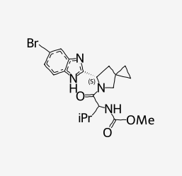 COC(=O)NC(C(=O)N1CC2(CC2)C[C@H]1c1nc2cc(Br)ccc2[nH]1)C(C)C